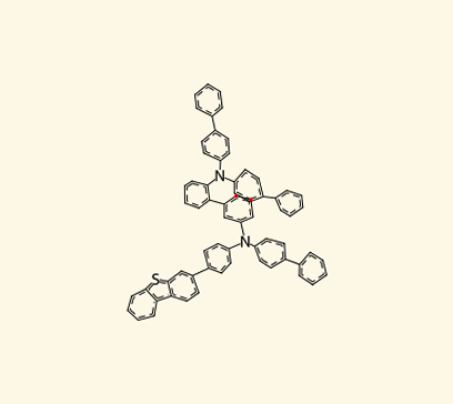 c1ccc(-c2ccc(N(c3ccc(-c4ccc5c(c4)sc4ccccc45)cc3)c3cccc(-c4ccccc4N(c4ccc(-c5ccccc5)cc4)c4ccc(-c5ccccc5)cc4)c3)cc2)cc1